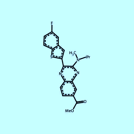 COC(=O)c1ccc2nc(-c3cc4cc(F)ccc4s3)c(N(C)C(C)C)nc2c1